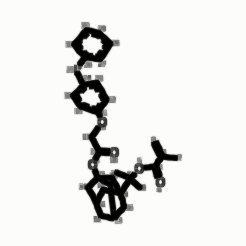 C=C(C)C(=O)OC(C)(C)C12CC3CC(CC(OC(=O)COc4ccc([I+]c5ccccc5)cc4)(C3)C1)C2